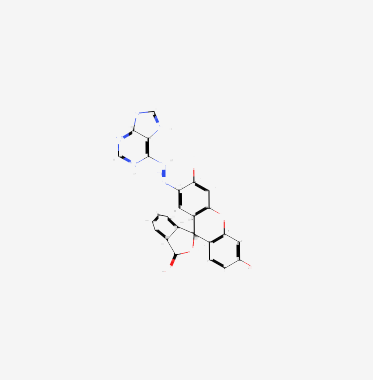 O=C1OC2(c3ccc(O)cc3Oc3cc(O)c(/N=N/c4ncnc5[nH]cnc45)cc32)c2ccccc21